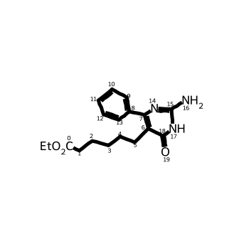 CCOC(=O)CCCCCc1c(-c2ccccc2)nc(N)[nH]c1=O